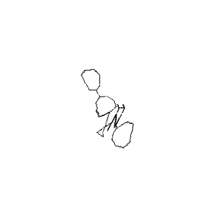 C1CCCC(NC2(C3CCCC(C4CCCCCCC4)CCC3)CC2)CCC1